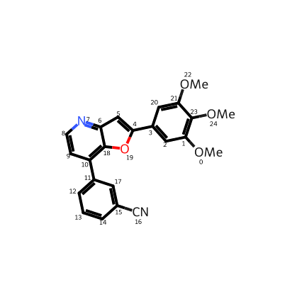 COc1cc(-c2cc3nccc(-c4cccc(C#N)c4)c3o2)cc(OC)c1OC